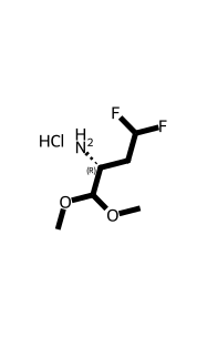 COC(OC)[C@H](N)CC(F)F.Cl